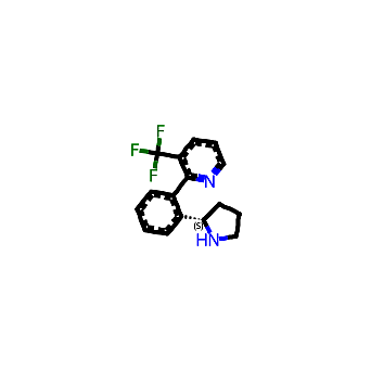 FC(F)(F)c1cccnc1-c1ccccc1[C@@H]1CCCN1